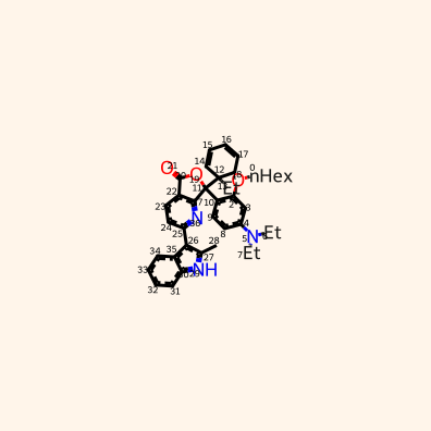 CCCCCCOc1cc(N(CC)CC)ccc1C1(C2(CC)C=CC=CC2)OC(=O)c2ccc(-c3c(C)[nH]c4ccccc34)nc21